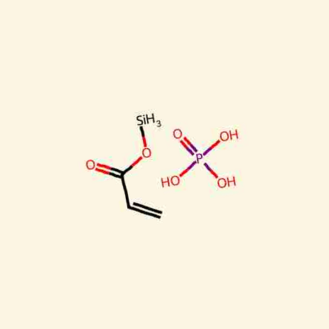 C=CC(=O)O[SiH3].O=P(O)(O)O